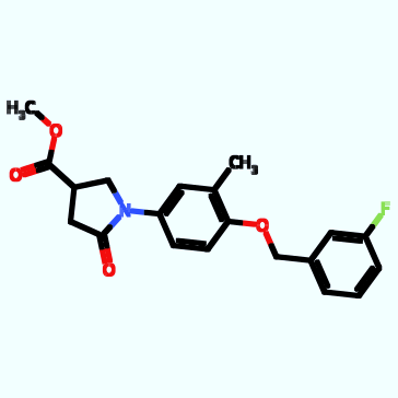 COC(=O)C1CC(=O)N(c2ccc(OCc3cccc(F)c3)c(C)c2)C1